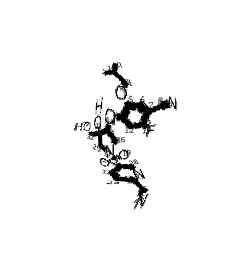 CC(C)COc1cc(C#N)c(F)cc1OC1CN(S(=O)(=O)c2ccc(C#N)nc2)C[C@@]1(O)CO